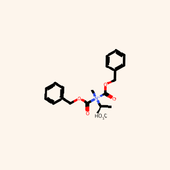 C[C@@H](C(=O)O)[N+](C)(C(=O)OCc1ccccc1)C(=O)OCc1ccccc1